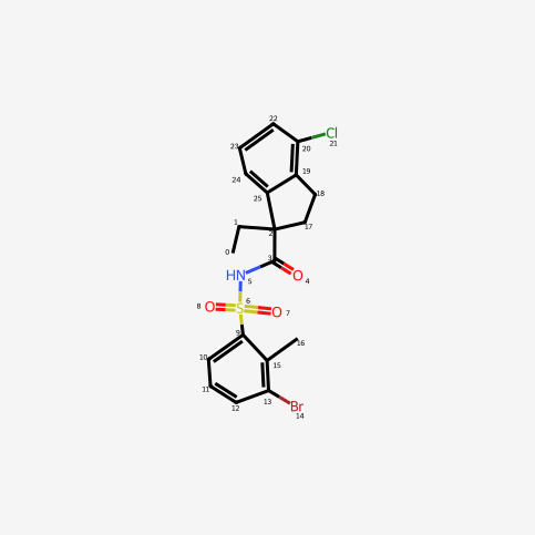 CCC1(C(=O)NS(=O)(=O)c2cccc(Br)c2C)CCc2c(Cl)cccc21